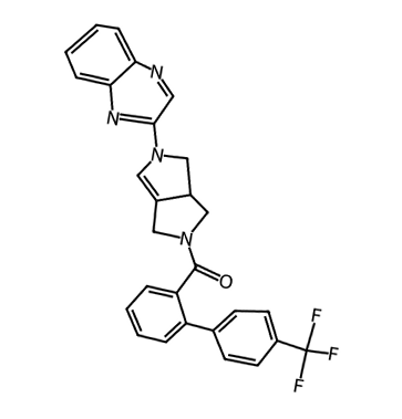 O=C(c1ccccc1-c1ccc(C(F)(F)F)cc1)N1CC2=CN(c3cnc4ccccc4n3)CC2C1